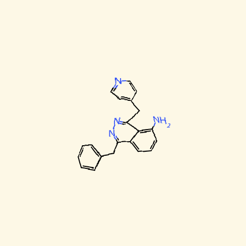 Nc1cccc2c(Cc3ccccc3)nnc(Cc3ccncc3)c12